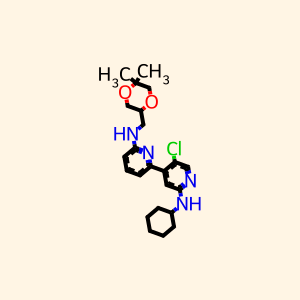 CC1(C)COC(CNc2cccc(-c3cc(NC4CCCCC4)ncc3Cl)n2)CO1